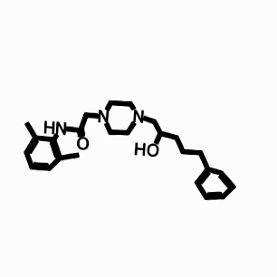 Cc1cccc(C)c1NC(=O)CN1CCN(CC(O)CCCc2ccccc2)CC1